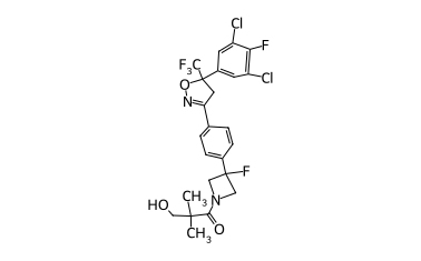 CC(C)(CO)C(=O)N1CC(F)(c2ccc(C3=NOC(c4cc(Cl)c(F)c(Cl)c4)(C(F)(F)F)C3)cc2)C1